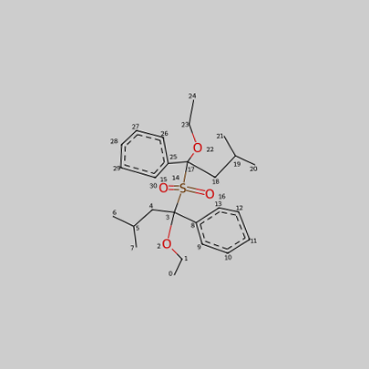 CCOC(CC(C)C)(c1ccccc1)S(=O)(=O)C(CC(C)C)(OCC)c1ccccc1